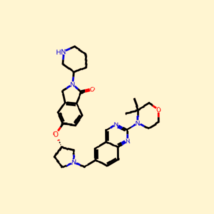 CC1(C)COCCN1c1ncc2cc(CN3CC[C@H](Oc4ccc5c(c4)CN(C4CCCNC4)C5=O)C3)ccc2n1